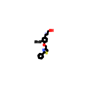 COc1cc(/C=C/CO)ccc1OCc1csc(-c2ccccc2)n1